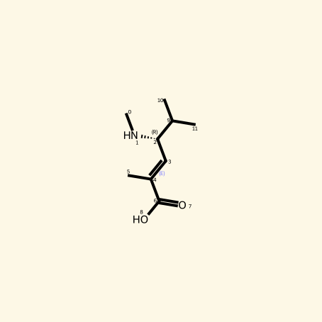 CN[C@@H](/C=C(\C)C(=O)O)C(C)C